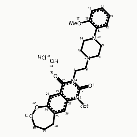 CCn1c(=O)n(CCN2CCN(c3ccccc3OC)CC2)c(=O)c2cc3c(cc21)CCCOO3.Cl.Cl